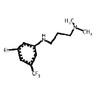 CCc1cc(NCCCN(C)C)cc(C(F)(F)F)c1